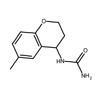 Cc1ccc2c(c1)C(NC(N)=O)CCO2